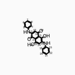 O=C1C(Nc2ccccc2)=CC(=O)c2c(O)c(Nc3ccccc3)cc(O)c21